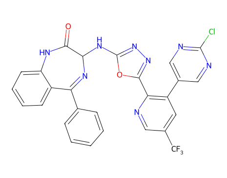 O=C1Nc2ccccc2C(c2ccccc2)=NC1Nc1nnc(-c2ncc(C(F)(F)F)cc2-c2cnc(Cl)nc2)o1